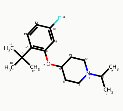 CC(C)N1CCC(Oc2cc(F)ccc2C(C)(C)C)CC1